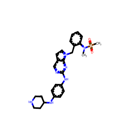 CN(c1ccccc1Cn1ccc2cnc(Nc3ccc(NC4CCNCC4)cc3)nc21)S(C)(=O)=O